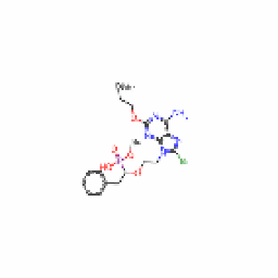 CCC(C)OP(=O)(O)C(Cc1ccccc1)OCCn1c(Br)nc2c(N)nc(OCCOC)nc21